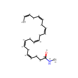 CC/C=C\C/C=C\C/C=C\C/C=C\C/C=C\C/C=C\CCC(=O)NCC